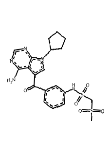 CS(=O)(=O)CS(=O)(=O)Nc1cccc(C(=O)c2cn(C3CCCC3)c3ncnc(N)c23)c1